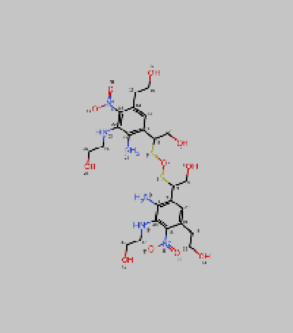 Nc1c(C(CO)SOSC(CO)c2cc(CCO)c([N+](=O)[O-])c(NCCO)c2N)cc(CCO)c([N+](=O)[O-])c1NCCO